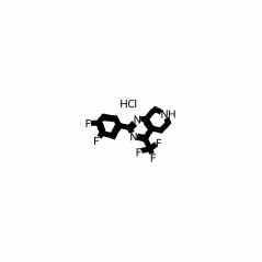 Cl.Fc1ccc(-c2nc3c(c(C(F)(F)F)n2)CCNC3)cc1F